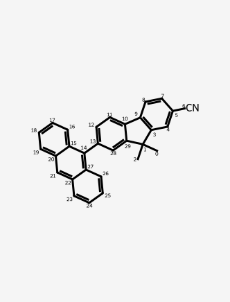 CC1(C)c2cc(C#N)ccc2-c2ccc(-c3c4ccccc4cc4ccccc34)cc21